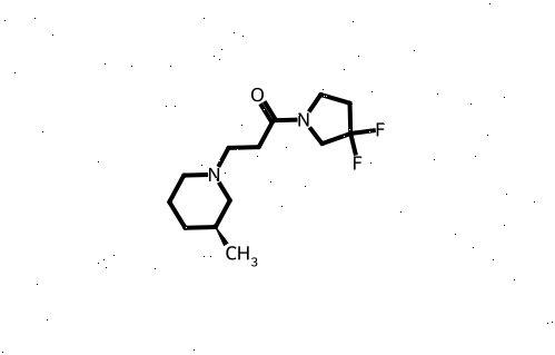 C[C@H]1CCCN(CCC(=O)N2CCC(F)(F)C2)C1